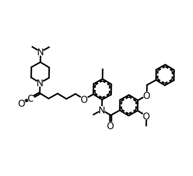 COc1cc(C(=O)N(C)c2ccc(C)cc2OCCCCC(=C=O)N2CCC(N(C)C)CC2)ccc1OCc1ccccc1